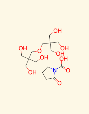 O=C(O)N1CCCC1=O.OCC(CO)(CO)COCC(CO)(CO)CO